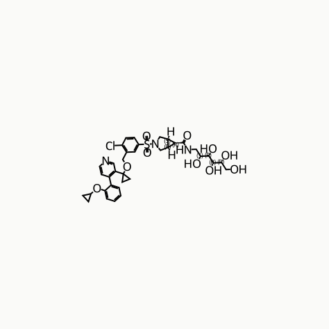 O=C(NC[C@H](O)[C@@H](O)[C@H](O)[C@H](O)CO)[C@H]1[C@@H]2CN(S(=O)(=O)c3ccc(Cl)c(COC4(c5cnccc5-c5ccccc5OC5CC5)CC4)c3)C[C@@H]21